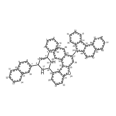 c1ccc(C2=NC(c3ccc4ccccc4c3)NC(c3cccc4oc5cc(-n6c7ccccc7c7c8ccccc8ccc76)c6ccccc6c5c34)N2)cc1